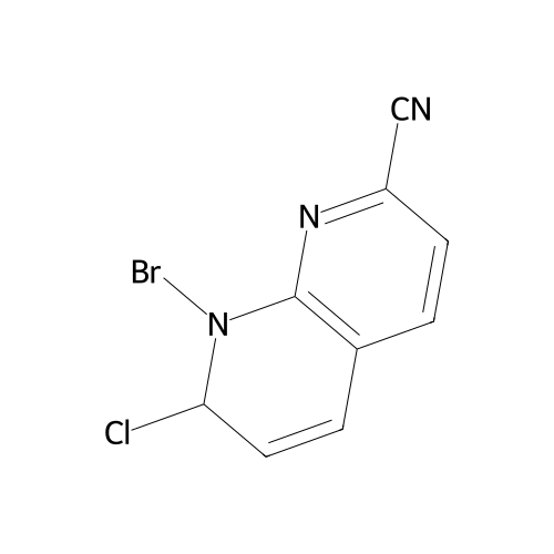 N#Cc1ccc2c(n1)N(Br)C(Cl)C=C2